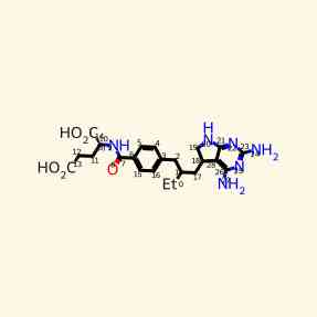 CCC(Cc1ccc(C(=O)N[C@@H](CCC(=O)O)C(=O)O)cc1)CC1CNc2nc(N)nc(N)c21